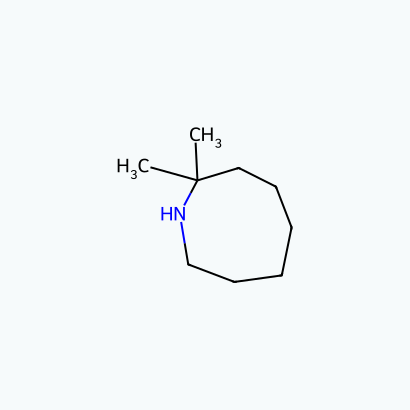 CC1(C)CCCCCCN1